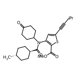 COC(=O)c1sc(C#CC(C)C)cc1N(C(=O)[C@H]1CC[C@H](C)CC1)C1CCC(=O)CC1